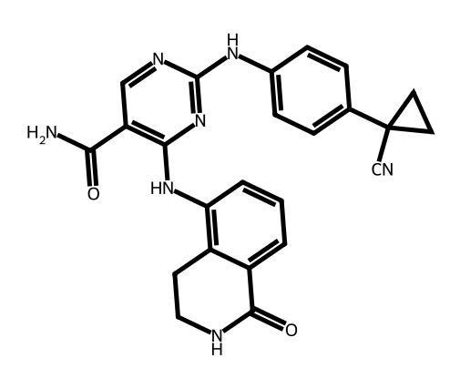 N#CC1(c2ccc(Nc3ncc(C(N)=O)c(Nc4cccc5c4CCNC5=O)n3)cc2)CC1